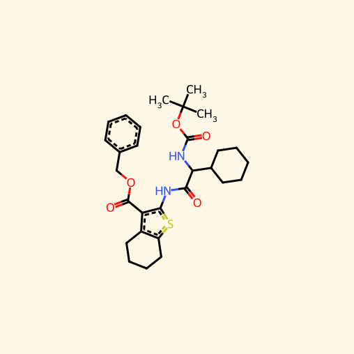 CC(C)(C)OC(=O)NC(C(=O)Nc1sc2c(c1C(=O)OCc1ccccc1)CCCC2)C1CCCCC1